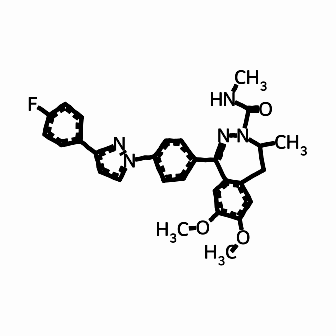 CNC(=O)N1N=C(c2ccc(-n3ccc(-c4ccc(F)cc4)n3)cc2)c2cc(OC)c(OC)cc2CC1C